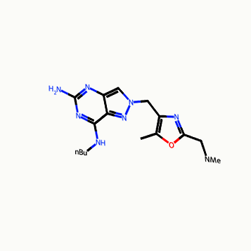 CCCCNc1nc(N)nc2cn(Cc3nc(CNC)oc3C)nc12